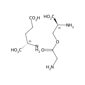 NCC(=O)OC[C@H](N)C(=O)O.N[C@@H](CCC(=O)O)C(=O)O